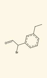 CCc1cccc(C(Br)C=O)c1